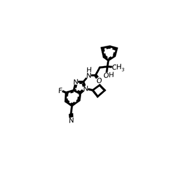 CC(O)(CC(=O)Nc1nc2c(F)cc(C#N)cc2n1C1CCC1)c1ccccc1